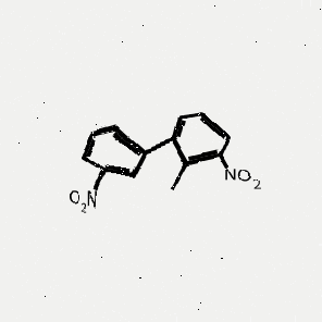 Cc1c(-c2cccc([N+](=O)[O-])c2)cccc1[N+](=O)[O-]